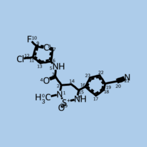 CN1C(C(=O)Nc2ccc(F)c(Cl)c2)CC(c2ccc(C#N)cc2)N[S+]1[O-]